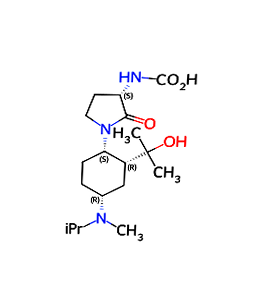 CC(C)N(C)[C@@H]1CC[C@H](N2CC[C@H](NC(=O)O)C2=O)[C@H](C(C)(C)O)C1